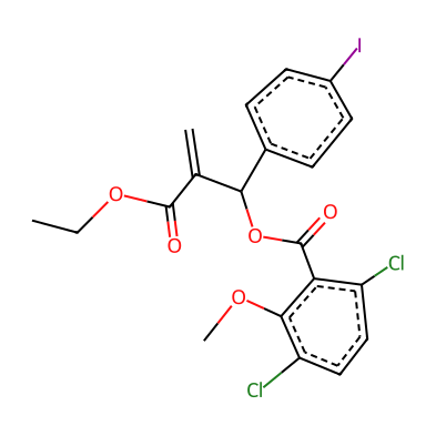 C=C(C(=O)OCC)C(OC(=O)c1c(Cl)ccc(Cl)c1OC)c1ccc(I)cc1